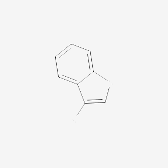 [S]c1csc2ccccc12